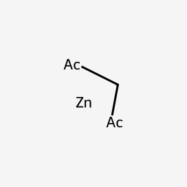 CC(=O)CC(C)=O.[Zn]